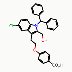 O=C(O)c1ccc(OCCc2c(CO)n(C(c3ccccc3)c3ccccc3)c3ccc(Cl)cc23)cc1